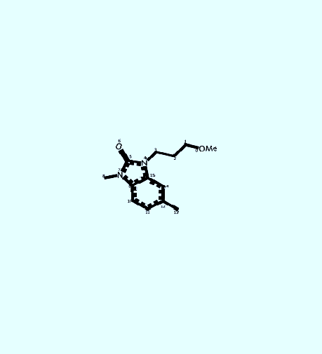 COCCCn1c(=O)n(C)c2ccc(C)cc21